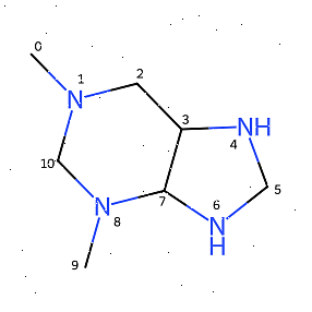 CN1CC2NCNC2N(C)C1